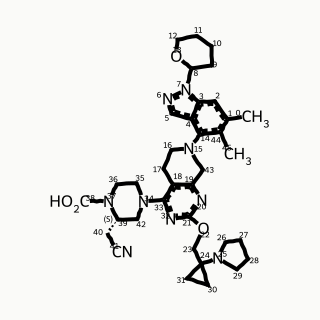 Cc1cc2c(cnn2C2CCCCO2)c(N2CCc3c(nc(OCC4(N5CCCC5)CC4)nc3N3CCN(C(=O)O)[C@@H](CC#N)C3)C2)c1C